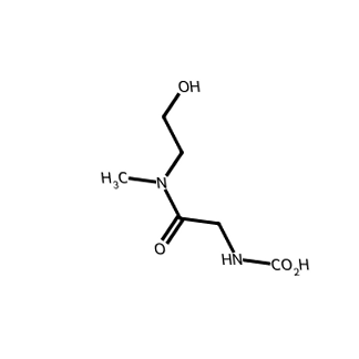 CN(CCO)C(=O)CNC(=O)O